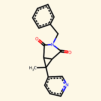 CC1(c2cccnc2)C2C(=O)N(Cc3ccccc3)C(=O)C21